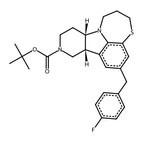 CC(C)(C)OC(=O)N1CC[C@H]2[C@@H](C1)c1cc(Cc3ccc(F)cc3)cc3c1N2CCCS3